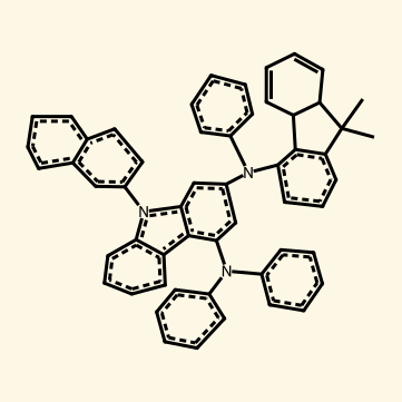 CC1(C)c2cccc(N(c3ccccc3)c3cc(N(c4ccccc4)c4ccccc4)c4c5ccccc5n(-c5ccc6ccccc6c5)c4c3)c2C2C=CC=CC21